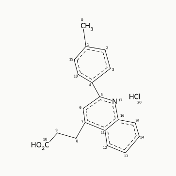 Cc1ccc(-c2cc(CCC(=O)O)c3ccccc3n2)cc1.Cl